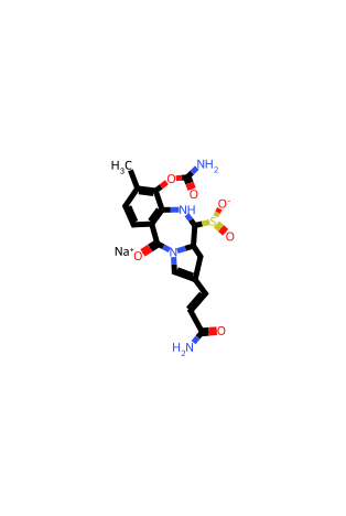 Cc1ccc2c(c1OC(N)=O)NC(S(=O)[O-])C1CC(C=CC(N)=O)=CN1C2=O.[Na+]